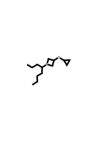 CCCCC(CCC)N1CC(OC2CC2)C1